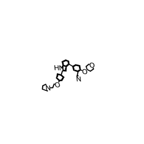 N#Cc1cc(-c2cccc3[nH]c(-c4ccc(OCCN5CCCC5)cc4)cc23)ccc1OC1CCOCC1